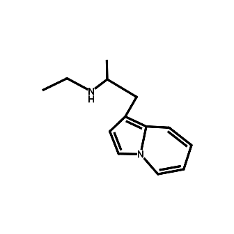 CCNC(C)Cc1ccn2ccccc12